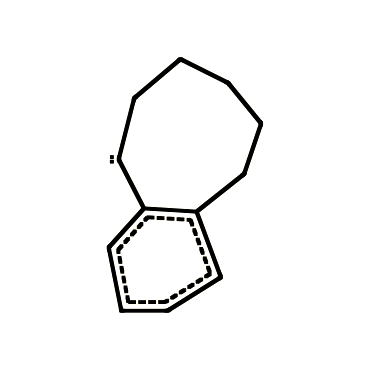 [C]1CCCCCc2ccccc21